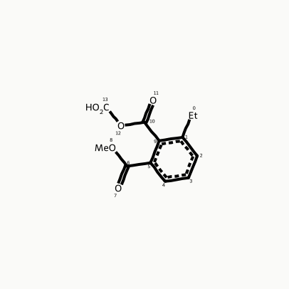 CCc1cccc(C(=O)OC)c1C(=O)OC(=O)O